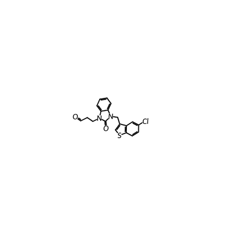 O=CCCn1c(=O)n(Cc2csc3ccc(Cl)cc23)c2ccccc21